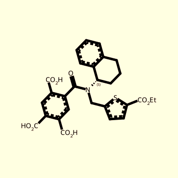 CCOC(=O)c1ccc(CN(C(=O)c2cc(C(=O)O)c(C(=O)O)cc2C(=O)O)[C@H]2CCCc3ccccc32)s1